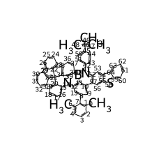 Cc1cccc(C)c1-c1cc2c3c(c1)N1c4ccccc4C(c4ccccc4)(c4ccccc4)c4cccc(c41)B3N(c1ccc(C(C)(C)C)cc1)c1cc3c(cc1-2)sc1ccccc13